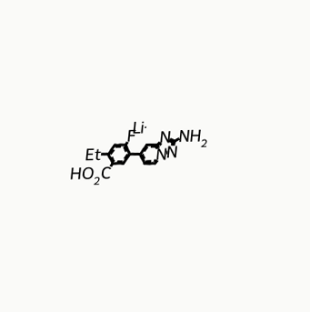 CCc1cc(F)c(-c2ccn3nc(N)nc3c2)cc1C(=O)O.[Li]